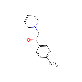 O=C(CN1C=CC=CC1)c1ccc([N+](=O)[O-])cc1